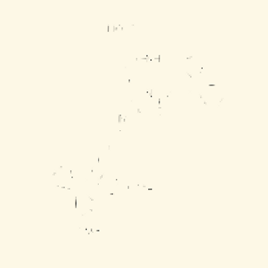 COc1ccc(C(OCCOCCNC(=O)[C@@H]2C[C@@H](OC(=N)CCC(=O)O)CN2C(=O)OCC2c3ccccc3-c3ccccc32)(c2ccccc2)c2ccc(OC)cc2)cc1